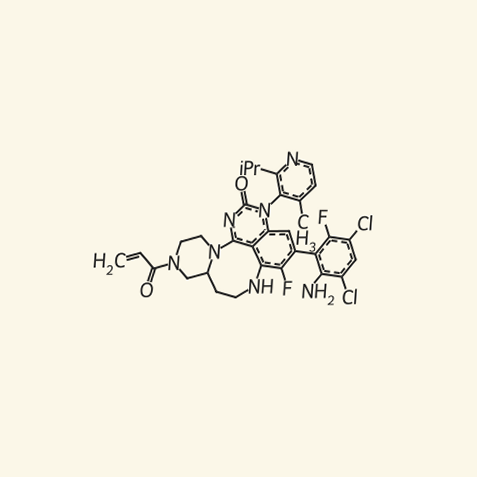 C=CC(=O)N1CCN2c3nc(=O)n(-c4c(C)ccnc4C(C)C)c4cc(-c5c(N)c(Cl)cc(Cl)c5F)c(F)c(c34)NCCC2C1